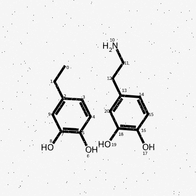 CCc1ccc(O)c(O)c1.NCCc1ccc(O)c(O)c1